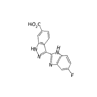 O=C(O)c1ccc2c(-c3nc4cc(F)ccc4[nH]3)n[nH]c2c1